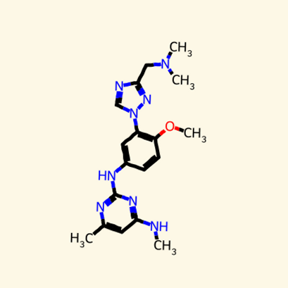 CNc1cc(C)nc(Nc2ccc(OC)c(-n3cnc(CN(C)C)n3)c2)n1